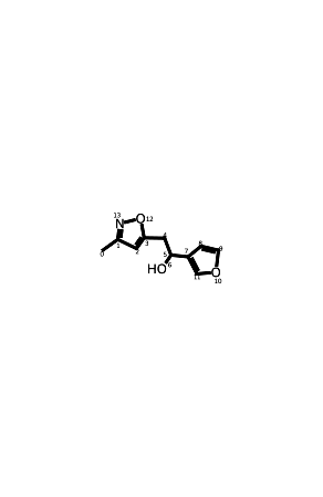 Cc1cc(CC(O)c2ccoc2)on1